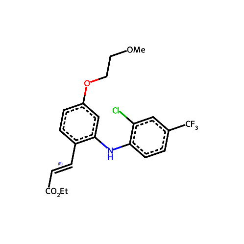 CCOC(=O)/C=C/c1ccc(OCCOC)cc1Nc1ccc(C(F)(F)F)cc1Cl